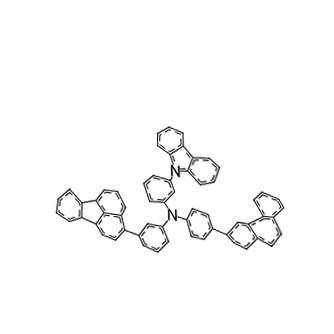 c1cc(-c2ccc3c4c(cccc24)-c2ccccc2-3)cc(N(c2ccc(-c3ccc4ccc5ccccc5c4c3)cc2)c2cccc(-n3c4ccccc4c4ccccc43)c2)c1